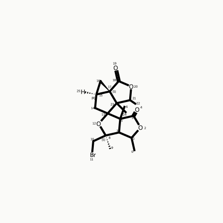 CC1OC(=O)C2(C)C1[C@@](C)(CBr)OC21C[C@H]2C[C@]23C(=O)OC(C)C13C